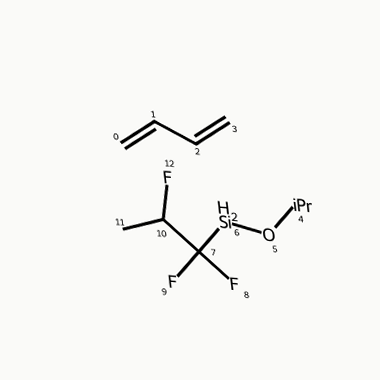 C=CC=C.CC(C)O[SiH2]C(F)(F)C(C)F